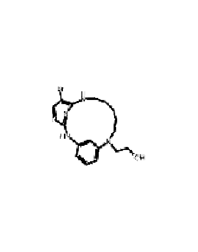 OCCN1CCCCCNc2nc(ncc2Br)Nc2cccc1c2